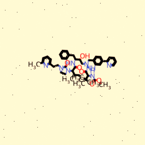 CCC(C)C(C(=O)NC(Cc1ccccc1)C(O)CN(Cc1ccc(-c2ccccn2)cc1)NC(=O)C(NC(=O)OC)C(C)(C)C)N1CCN(CCc2cccc(C)n2)C1=O